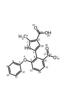 Cc1[nH]c(-c2c(Oc3ccccc3)cccc2[N+](=O)[O-])cc1C(=O)O